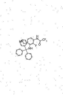 N=Cc1ccc(NC(=O)C(F)(F)F)c(F)c1NC(c1ccccc1)(c1ccccc1)c1ccccc1